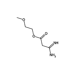 COCCOC(=O)CC(=N)N